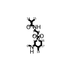 CNC1CN(S(=O)(=O)CCNC(=O)C(C)C)CCC1C